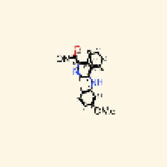 COc1cccc(Nc2cnc(C(=O)N=O)c3c2C2CCC3CC2)c1